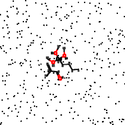 C=C(C)C=O.CCC[CH2][Ge]([O]C)([O]C)[O]C